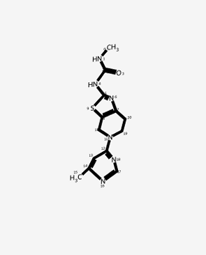 CNC(=O)Nc1nc2c(s1)CN(c1cc(C)ncn1)CC2